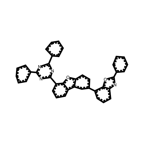 c1ccc(-c2nc(-c3ccccc3)nc(-c3cccc4c3oc3ccc(-c5cccc6nc(-c7ccccc7)oc56)cc34)n2)cc1